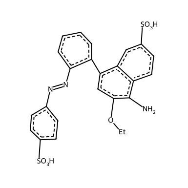 CCOc1cc(-c2ccccc2N=Nc2ccc(S(=O)(=O)O)cc2)c2cc(S(=O)(=O)O)ccc2c1N